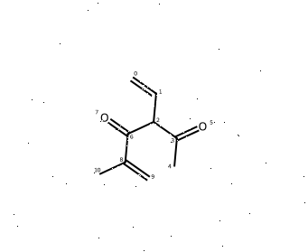 C=CC(C(C)=O)C(=O)C(=C)C